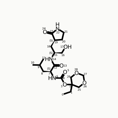 CCC1(OC(=O)N[C@@H](CC(C)C)C(=O)N[C@H](CO)C[C@@H]2CCNC2=O)COCOC1